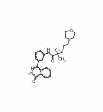 CC(C)(CCCN1CCOCC1)C(=O)Nc1cccc(-c2n[nH]c(=O)c3ccccc23)c1